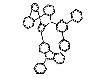 c1ccc(-c2cc(-c3ccccc3)nc(N3c4ccccc4C4(c5ccccc5-c5ccccc54)c4ccc(-c5ccc6c(c5)c5ccccc5n6-c5ccccc5)cc43)n2)cc1